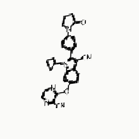 N#Cc1nccnc1Oc1ccc2c(C#N)c(-c3ccc(N4CCCC4=O)cc3)n(C3CCC3)c2c1